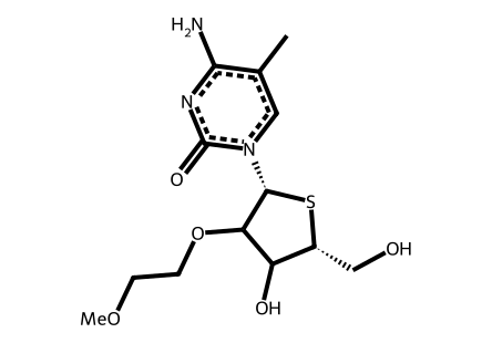 COCCOC1C(O)[C@@H](CO)S[C@H]1n1cc(C)c(N)nc1=O